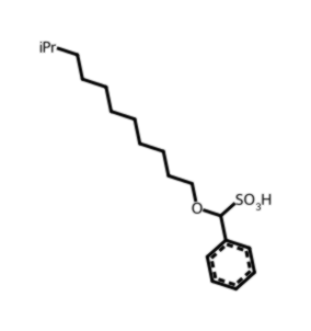 CC(C)CCCCCCCCCOC(c1ccccc1)S(=O)(=O)O